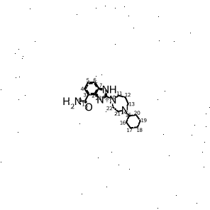 NC(=O)c1cccc2[nH]c(N3CCCN(C4CCCCC4)CC3)nc12